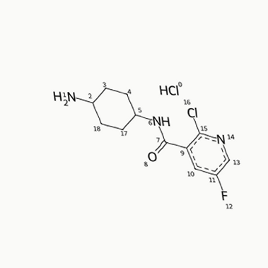 Cl.NC1CCC(NC(=O)c2cc(F)cnc2Cl)CC1